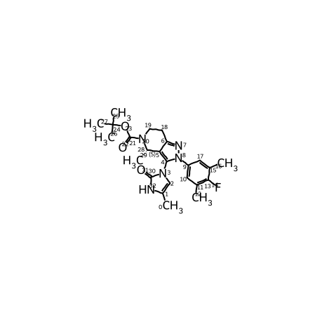 Cc1cn(-c2c3c(nn2-c2cc(C)c(F)c(C)c2)CCN(C(=O)OC(C)(C)C)[C@H]3C)c(=O)[nH]1